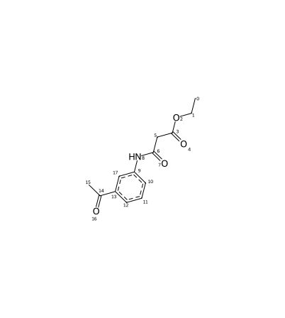 CCOC(=O)CC(=O)Nc1cccc(C(C)=O)c1